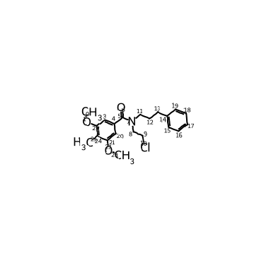 COc1cc(C(=O)N(CCCl)CCCc2ccccc2)cc(OC)c1C